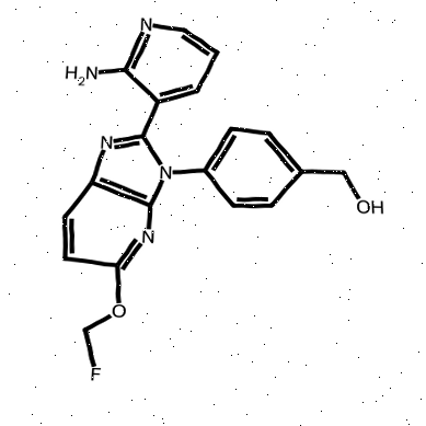 Nc1ncccc1-c1nc2ccc(OCF)nc2n1-c1ccc(CO)cc1